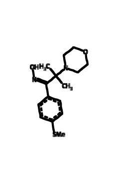 CSc1ccc(C(=NO)C(C)(C)N2CCOCC2)cc1